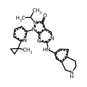 CC(C)n1c(=O)c2cnc(Nc3ccc4c(c3)CNCC4)nc2n1-c1cccc(C2(C)CC2)n1